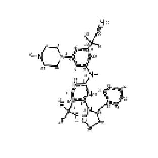 CN1CCN(c2cc(Nc3ncc(C(F)(F)F)c(N4OCCC4c4ccccc4)n3)cc(C(C)(C)C#N)c2)CC1